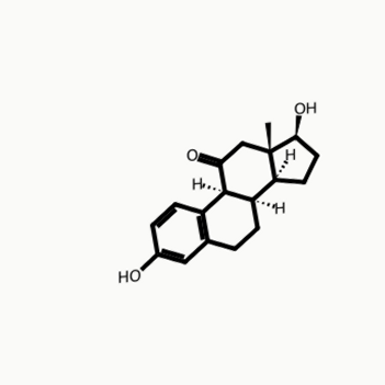 C[C@]12CC(=O)[C@@H]3c4ccc(O)cc4CC[C@@H]3[C@@H]1CC[C@@H]2O